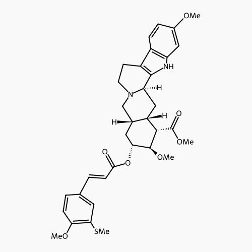 COC(=O)[C@H]1[C@H]2C[C@@H]3c4[nH]c5cc(OC)ccc5c4CCN3C[C@H]2C[C@@H](OC(=O)/C=C/c2ccc(OC)c(SC)c2)[C@@H]1OC